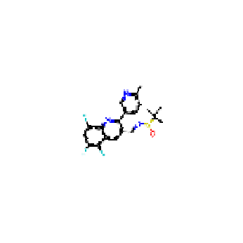 Cc1ccc(-c2nc3c(F)cc(F)c(F)c3cc2/C=N/[S+]([O-])C(C)(C)C)cn1